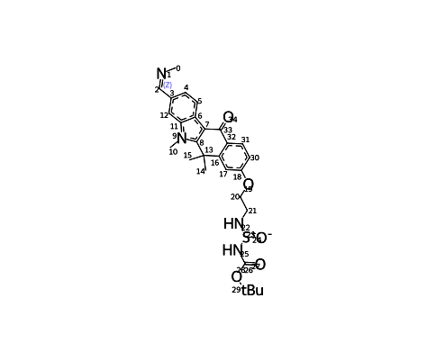 C/N=C\c1ccc2c3c(n(C)c2c1)C(C)(C)c1cc(OCCN[S+]([O-])NC(=O)OC(C)(C)C)ccc1C3=O